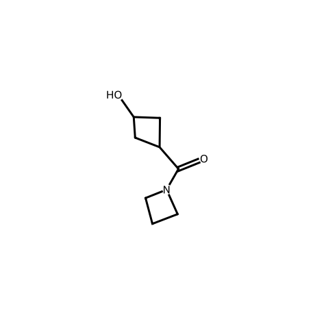 O=C(C1CC(O)C1)N1CCC1